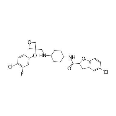 O=C(NC1CCC(NCC2(Oc3ccc(Cl)c(F)c3)COC2)CC1)C1Cc2cc(Cl)ccc2O1